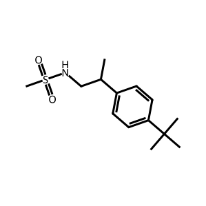 CC(CNS(C)(=O)=O)c1ccc(C(C)(C)C)cc1